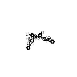 C[C@@H]1CN(Cc2cc(Cl)ccc2OC(Oc2ccc(Cl)cc2CN2C[C@@H](C)N(C(=O)Cc3ccccc3)[C@@H](C)C2)C(=O)O)C[C@H](C)N1C(=O)Cc1ccccc1